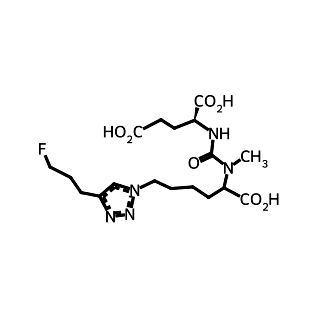 CN(C(=O)N[C@@H](CCC(=O)O)C(=O)O)C(CCCCn1cc(CCCF)nn1)C(=O)O